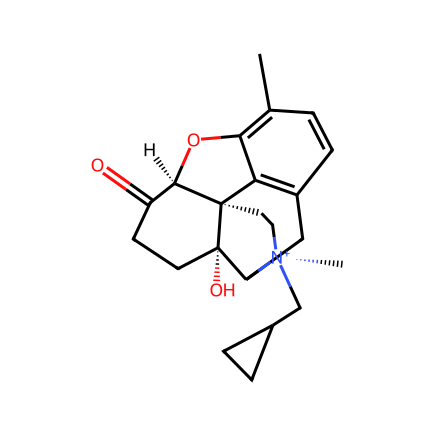 Cc1ccc2c3c1O[C@@H]1C(=O)CC[C@]4(O)C(C2)[N@+](C)(CC2CC2)CC[C@@]314